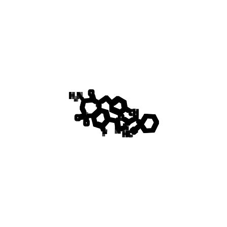 C#CC1(Nc2nnc(-c3cc4c(cc3F)S(=O)(=O)C[C@H](N)C(=O)N4Cc3ccc(Cl)cc3)o2)CCCCC1